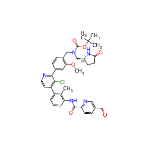 COc1cc(-c2nccc(-c3cccc(NC(=O)c4ccc(C=O)cn4)c3C)c2Cl)ccc1CN(C[C@@H]1CCC(=O)N1)C(=O)OC(C)(C)C